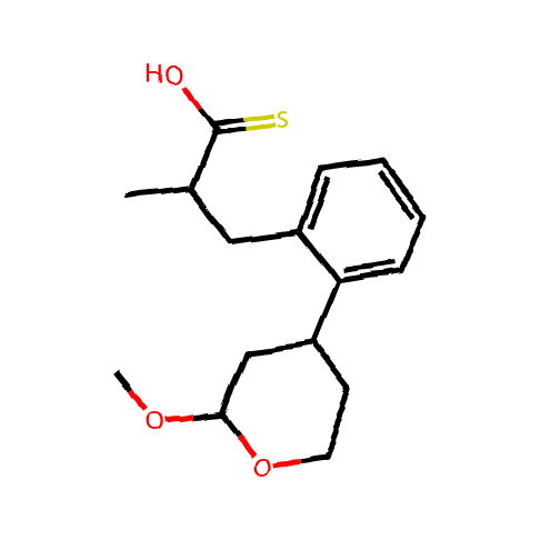 COC1CC(c2ccccc2CC(C)C(O)=S)CCO1